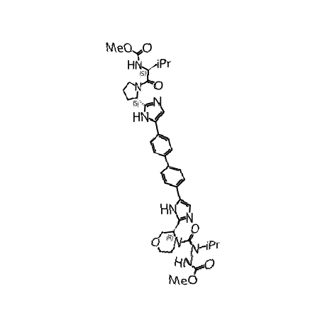 COC(=O)N[C@H](C(=O)N1CCC[C@H]1c1ncc(-c2ccc(-c3ccc(-c4cnc([C@@H]5COCCN5C(=O)N(NC(=O)OC)C(C)C)[nH]4)cc3)cc2)[nH]1)C(C)C